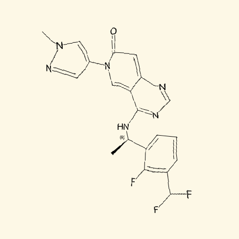 C[C@@H](Nc1ncnc2cc(=O)n(-c3cnn(C)c3)cc12)c1cccc(C(F)F)c1F